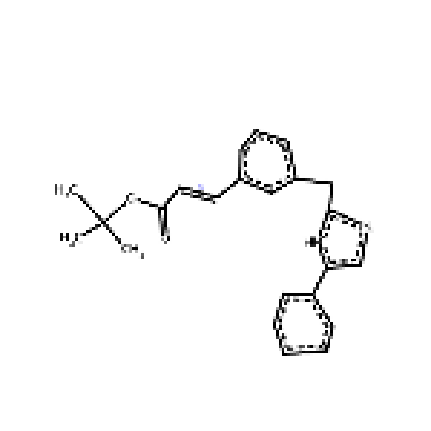 CC(C)(C)OC(=O)/C=C/c1cccc(Cc2ncc(-c3ccccc3)[nH]2)c1